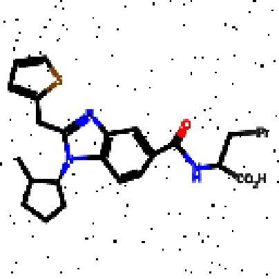 CC(C)CC(NC(=O)c1ccc2c(c1)nc(Cc1cccs1)n2[C@H]1CCCC1C)C(=O)O